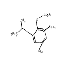 CCOC(=O)Oc1c(C)cc(C(C)(C)C)cc1C(C)C(=O)O